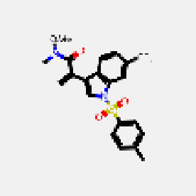 C=C(C(=O)N(C)OC)c1cn(S(=O)(=O)c2ccc(C)cc2)c2cc(C(F)(F)F)ccc12